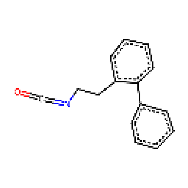 O=C=NCCc1ccccc1-c1ccccc1